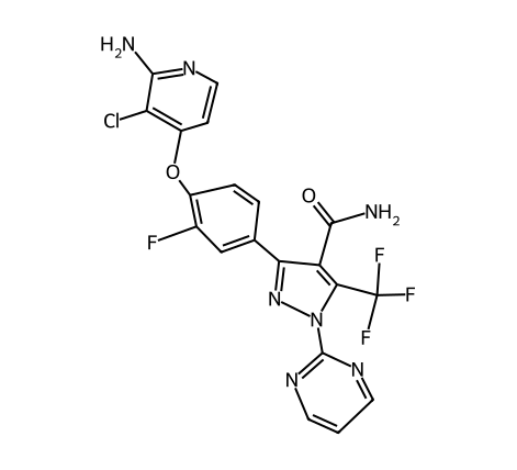 NC(=O)c1c(-c2ccc(Oc3ccnc(N)c3Cl)c(F)c2)nn(-c2ncccn2)c1C(F)(F)F